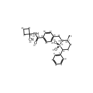 C[C@H]1CCC(c2ccccc2)S(=O)(=O)N1Cc1ccc(C(=O)NC2(C#N)CCC2)cc1